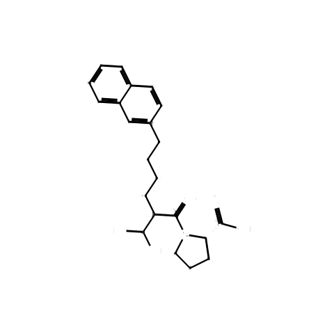 CC(C)C(CCCCc1ccc2ccccc2c1)C(=O)N1CCC[C@H]1C(=O)O